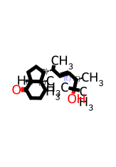 CC(/C=C/[C@H](C)C(C)(C)O)[C@H]1CC[C@H]2C(=O)CCC[C@]12C